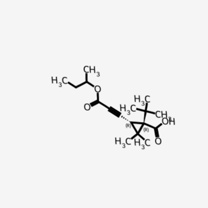 CCC(C)OC(=O)C#C[C@H]1C(C)(C)[C@]1(C(=O)O)C(C)(C)C